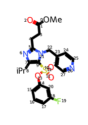 COC(=O)CCc1nc(C(C)C)c(S(=O)(=O)Oc2cccc(F)c2)n1Cc1ccncc1